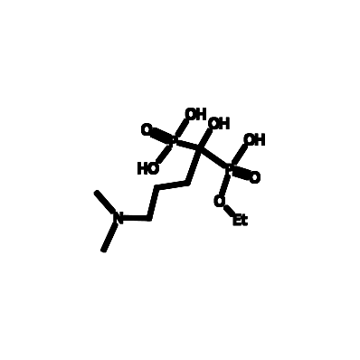 CCOP(=O)(O)C(O)(CCCN(C)C)P(=O)(O)O